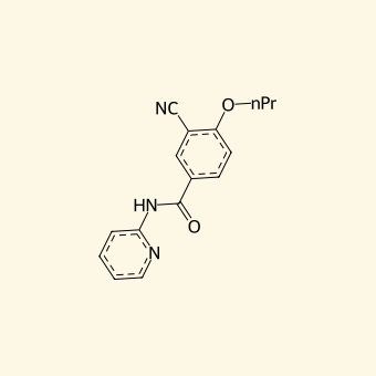 CCCOc1ccc(C(=O)Nc2ccccn2)cc1C#N